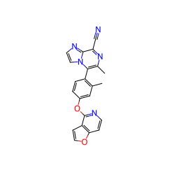 Cc1cc(Oc2nccc3occc23)ccc1-c1c(C)nc(C#N)c2nccn12